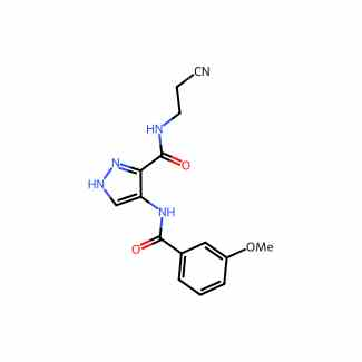 COc1cccc(C(=O)Nc2c[nH]nc2C(=O)NCCC#N)c1